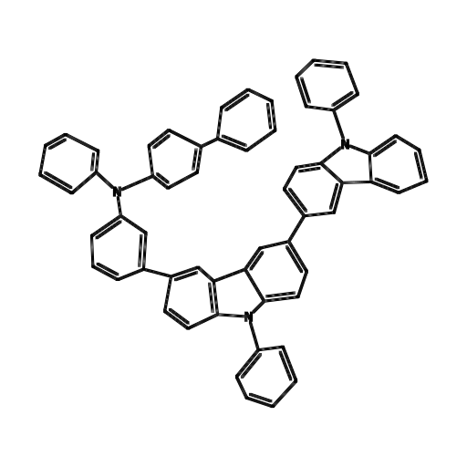 c1ccc(-c2ccc(N(c3ccccc3)c3cccc(-c4ccc5c(c4)c4cc(-c6ccc7c(c6)c6ccccc6n7-c6ccccc6)ccc4n5-c4ccccc4)c3)cc2)cc1